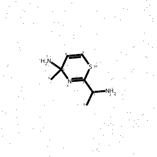 CC(N)C1=NC(C)(N)C=CS1